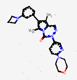 Cc1c(-c2cccc(N3CCC3)c2)c(C)n2c(=O)n(-c3ccc(N4CCOCC4)nc3)ncc12